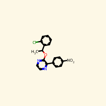 CC(Oc1nccnc1-c1ccc([N+](=O)[O-])cc1)c1ccccc1Cl